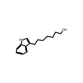 OCCCCCCCc1c[nH]c2ccccc12